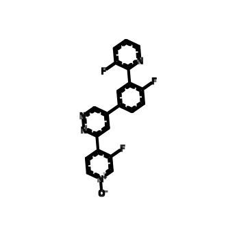 [O-][n+]1ccc(-c2cc(-c3ccc(F)c(-c4ncccc4F)c3)cnn2)c(F)c1